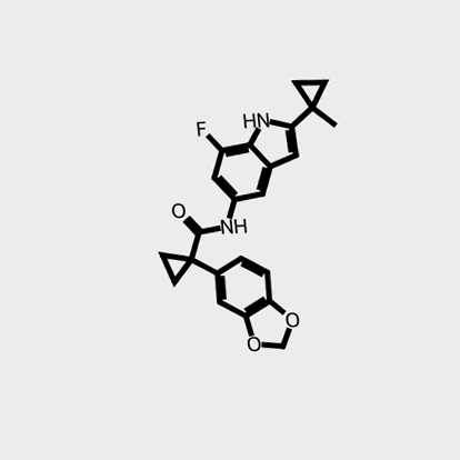 CC1(c2cc3cc(NC(=O)C4(c5ccc6c(c5)OCO6)CC4)cc(F)c3[nH]2)CC1